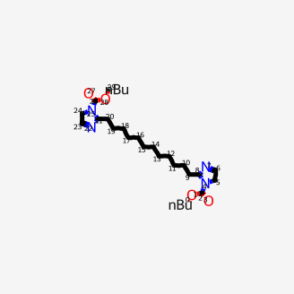 CCCCOC(=O)N1CC=NC1CCCCCCCCCCCCC1N=CCN1C(=O)OCCCC